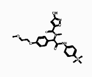 COCCOc1ccc(C(C(=O)Nc2ccc([Si](C)(C)C)cc2)N(C)C(=O)c2cc(O)no2)cc1